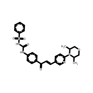 CC1COCC(C)N1c1ccc(/C=C/C(=O)c2ccc(NC(=O)NS(=O)(=O)c3ccccc3)cc2)cn1